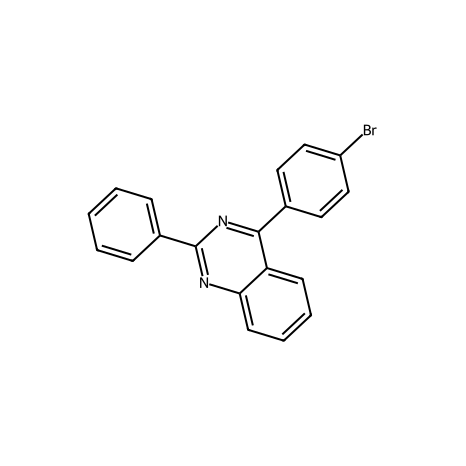 Brc1ccc(-c2nc(-c3ccccc3)nc3ccccc23)cc1